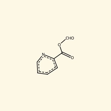 O=COC(=O)c1ccccn1